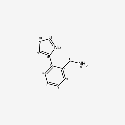 NCc1ccccc1-c1cs[c]n1